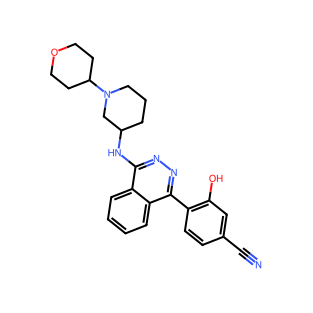 N#Cc1ccc(-c2nnc(NC3CCCN(C4CCOCC4)C3)c3ccccc23)c(O)c1